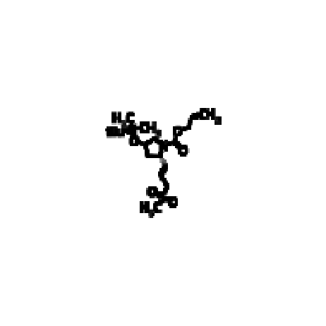 C=CCOC(=O)N1C[C@H](O[Si](C)(C)C(C)(C)C)C[C@H]1C=CCS(C)(=O)=O